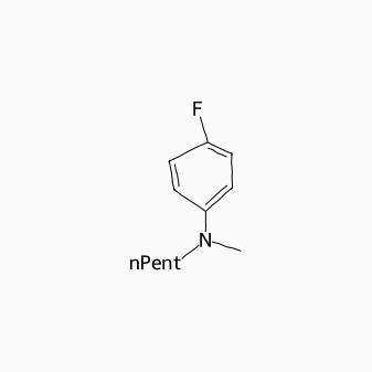 CCCCCN(C)c1ccc(F)cc1